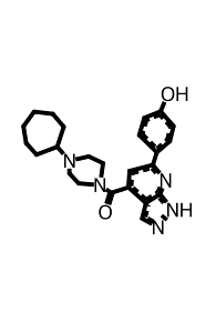 O=C(c1cc(-c2ccc(O)cc2)nc2[nH]ncc12)N1CCN(C2CCCCCC2)CC1